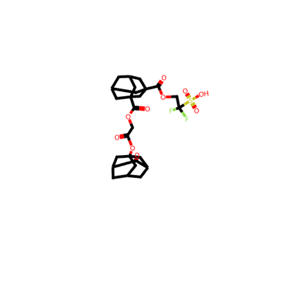 O=C(COC(=O)C12CC3CC(C1)CC(C(=O)OCC(F)(F)S(=O)(=O)O)(C3)C2)OC12CC3CC(C1)C(=O)C(C3)C2